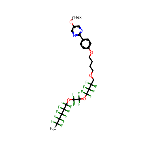 CCCCCCOc1cnc(-c2ccc(OCCCCOCC(F)(F)C(F)(F)C(F)(F)OC(F)(F)C(F)(F)OC(F)(F)C(F)(F)C(F)(F)C(F)(F)C(F)(F)C(F)(F)F)cc2)nc1